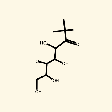 CC(C)(C)C(=O)C(O)C(O)C(O)C(O)CO